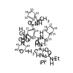 CCNC(=O)[C@@H](NC(=O)[C@H](C)NC[C@H](Cc1ccccc1)NC(=O)c1cc(C(=O)N[C@H](C)c2ccccc2)cc(N(C)S(=O)(=O)N2CCOCC2)c1)C(C)C